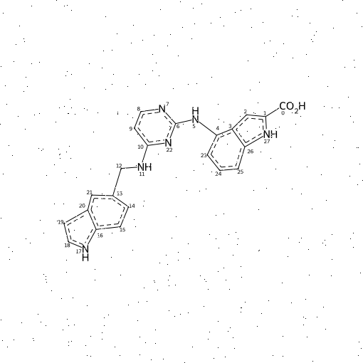 O=C(O)c1cc2c(Nc3nccc(NCc4ccc5[nH]ccc5c4)n3)cccc2[nH]1